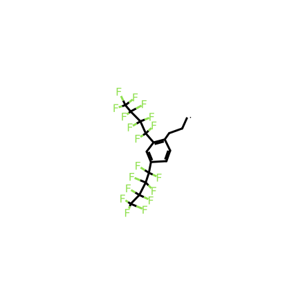 [CH2]CCc1ccc(C(F)(F)C(F)(F)C(F)(F)C(F)(F)F)cc1C(F)(F)C(F)(F)C(F)(F)C(F)(F)F